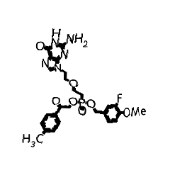 COc1ccc(COP(=O)(CCOCCn2cnc3c(=O)[nH]c(N)nc32)OCC(=O)c2ccc(C)cc2)cc1F